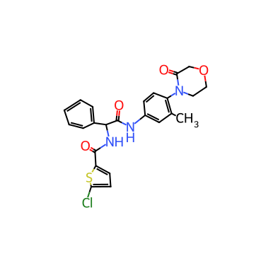 Cc1cc(NC(=O)C(NC(=O)c2ccc(Cl)s2)c2ccccc2)ccc1N1CCOCC1=O